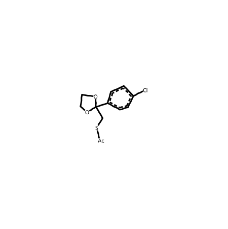 CC(=O)SCC1(c2ccc(Cl)cc2)OCCO1